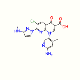 CNc1ccn(-c2nc3c(cc2Cl)c(=O)c(C(=O)O)cn3-c2cnc(N)cc2C)n1